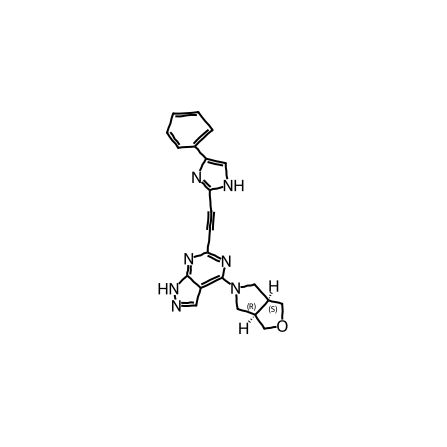 C(#Cc1nc(-c2ccccc2)c[nH]1)c1nc(N2C[C@H]3COC[C@H]3C2)c2cn[nH]c2n1